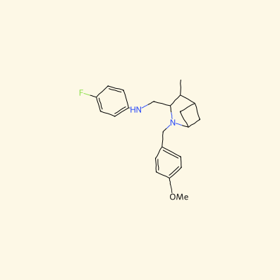 COc1ccc(CN2C3CC(C3)C(C)C2CNc2ccc(F)cc2)cc1